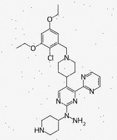 CCOc1cc(CN2CCC(c3cnc(N(N)C4CCNCC4)nc3-c3ncccn3)CC2)c(Cl)c(OCC)c1